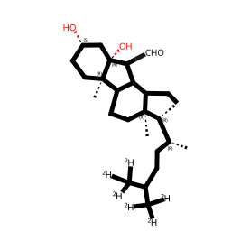 [2H]C([2H])([2H])C(CC[C@@H](C)[C@H]1CCC2C3C(C=O)[C@]4(O)C[C@@H](O)CC[C@]4(C)C3CC[C@@]21C)C([2H])([2H])[2H]